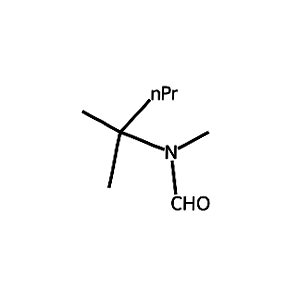 CCCC(C)(C)N(C)C=O